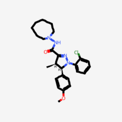 COc1ccc([C@H]2[C@@H](C)C(C(=O)NN3CCCCCCC3)=NN2c2ccccc2Cl)cc1